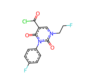 O=C(Cl)c1cn(CCF)c(=O)n(-c2ccc(F)cc2)c1=O